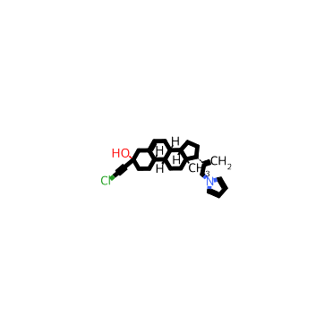 C=C(Cn1cccc1)[C@H]1CC[C@H]2[C@@H]3CC=C4C[C@](O)(C#CCl)CC[C@@H]4[C@H]3CC[C@]12C